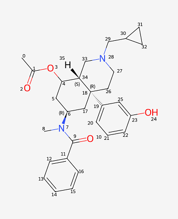 CC(=O)OC1C[C@H](N(C)C(=O)c2ccccc2)C[C@]2(c3cccc(O)c3)CCN(CC3CC3)C[C@@H]12